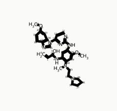 C=CC(O)Nc1cc(Nc2nccc(-n3cnc4ccc(OC)cc43)n2)c(OC)cc1N(C)CCN1CCCC1